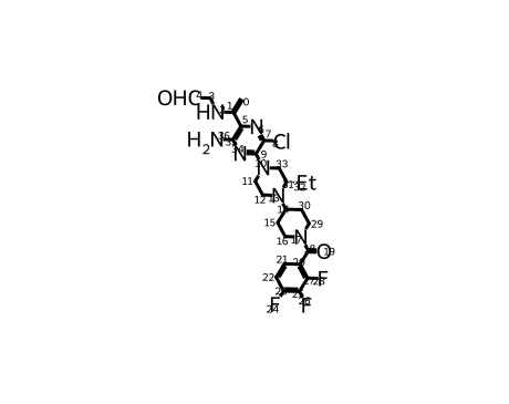 C=C(NCC=O)c1nc(Cl)c(N2CCN(C3CCN(C(=O)c4ccc(F)c(F)c4F)CC3)[C@@H](CC)C2)nc1N